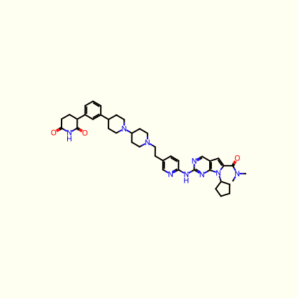 CN(C)C(=O)c1cc2cnc(Nc3ccc(CCN4CCC(N5CCC(c6cccc(C7CCC(=O)NC7=O)c6)CC5)CC4)cn3)nc2n1C1CCCC1